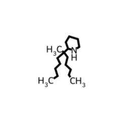 CCCCCC(C)(CCCCC)C1CCCCN1